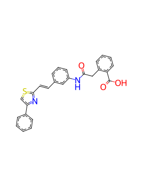 O=C(Cc1ccccc1C(=O)O)Nc1cccc(C=Cc2nc(-c3ccccc3)cs2)c1